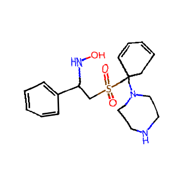 O=S(=O)(CC(NO)c1ccccc1)C1(N2CCNCC2)C=CC=CC1